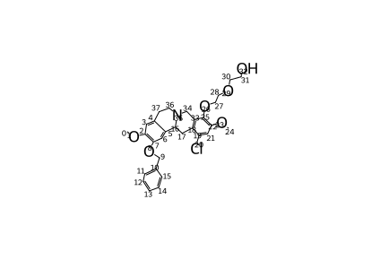 COc1cc2c(cc1OCc1ccccc1)C1Cc3c(Cl)cc(OC)c(OCCOCCO)c3CN1CC2